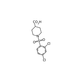 O=C(O)C1CCN(S(=O)(=O)c2ccc(Cl)cc2Cl)CC1